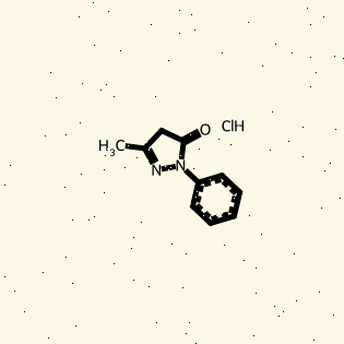 CC1=NN(c2ccccc2)C(=O)C1.Cl